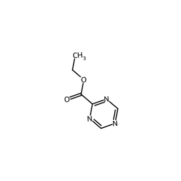 CCOC(=O)c1ncncn1